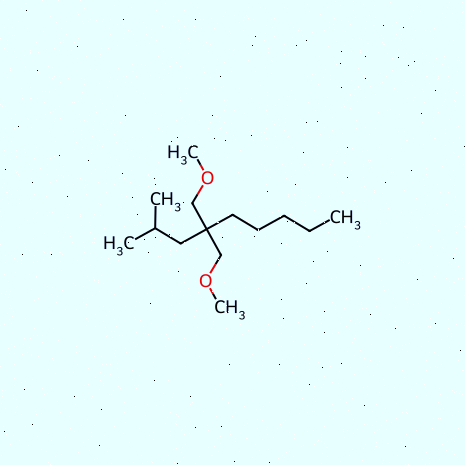 CCCCCC(COC)(COC)CC(C)C